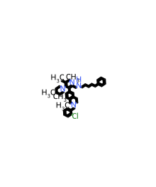 CCc1c(C)nc(CNCCCCCc2ccccc2)c(-c2ccc3c(c2)CCN(Cc2c(C)cccc2Cl)C3)c1N1CCC(C)(C)CC1